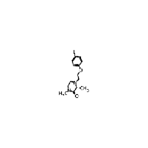 C[C@@H]1C(=O)N(C)CCN1CCOc1ccc(I)cc1